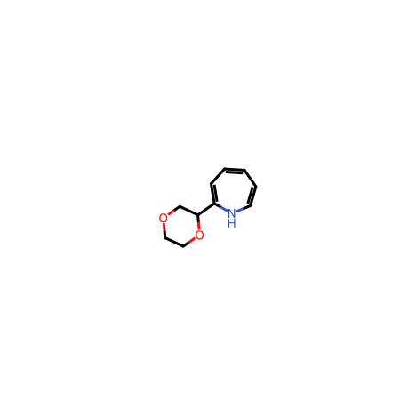 C1=CC=C(C2COCCO2)NC=C1